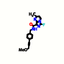 COCC#Cc1ccc(CNC(=O)c2nc(F)n3ccc(C)nc23)cc1